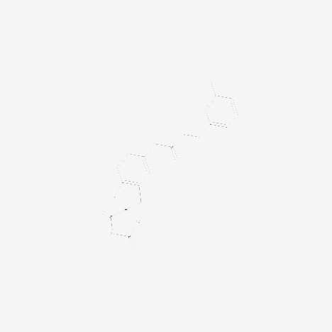 O=C(NCc1cccc(Cl)c1)Nc1ccc2c(c1)CC1(C2)NC(=O)NC1=O